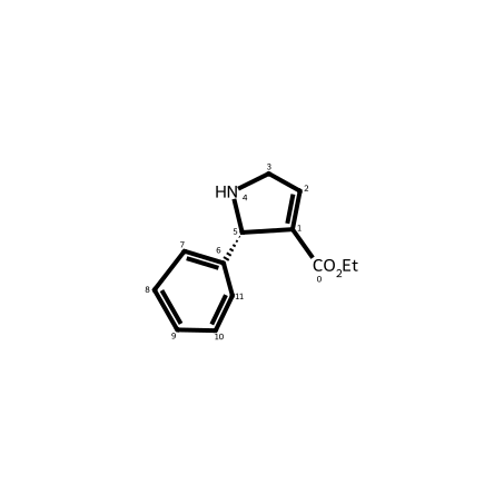 CCOC(=O)C1=CCN[C@H]1c1ccccc1